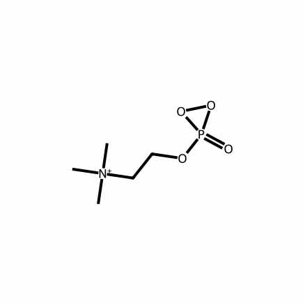 C[N+](C)(C)CCOP1(=O)OO1